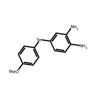 COc1ccc([Se]c2ccc(N)c(N)c2)cc1